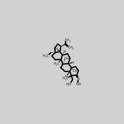 C=C(C)[C@@H]1CC[C@]2(CC)CC[C@]3(C)[C@H](CC[C@@H]4[C@@]5(C)CC/C(=N/O)C(C)(CO)[C@@H]5CC[C@]43C)[C@@H]12